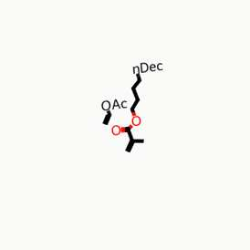 C=C(C)C(=O)OCCCCCCCCCCCCCC.C=COC(C)=O